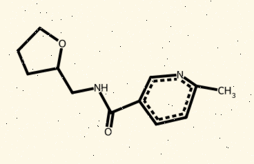 Cc1ccc(C(=O)NCC2CCCO2)cn1